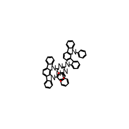 c1ccc(-c2nc(-n3c4ccccc4c4c3ccc3c5ccccc5n(-c5ccccc5)c34)nc(-n3c4ccccc4c4ccc5c6ccccc6n(-c6ccccc6)c5c43)n2)cc1